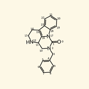 O=C1N(Cc2ccccc2)CC2NCCc3c2n1c1ccccc31